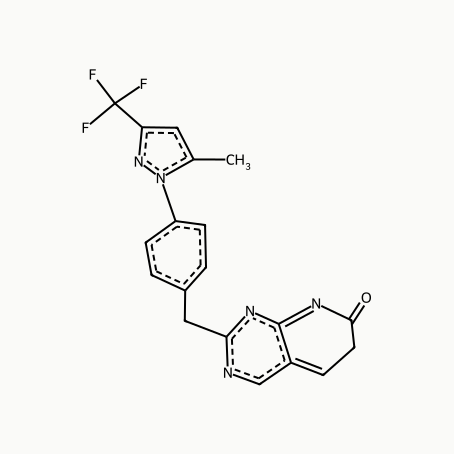 Cc1cc(C(F)(F)F)nn1-c1ccc(Cc2ncc3c(n2)=NC(=O)CC=3)cc1